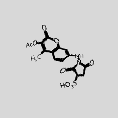 CC(=O)Oc1c(C)c2ccc(NN3C(=O)CC(S(=O)(=O)O)C3=O)cc2oc1=O